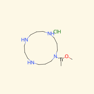 C[O][Ti]([CH3])[N]1CCCNCCCNCCCNCCC1.Cl